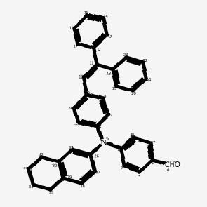 O=Cc1ccc(N(c2ccc(C=C(c3ccccc3)c3ccccc3)cc2)c2ccc3c(c2)CCCC3)cc1